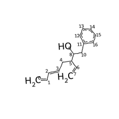 C=CC=CCC(C=C)C(O)Cc1ccccc1